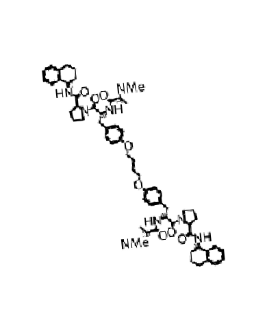 CN[C@@H](C)C(=O)N[C@@H](Cc1ccc(OCCCCOc2ccc(C[C@H](NC(=O)[C@H](C)NC)C(=O)N3CCCC3C(=O)N[C@@H]3CCCc4ccccc43)cc2)cc1)C(=O)N1CCCC1C(=O)N[C@@H]1CCCc2ccccc21